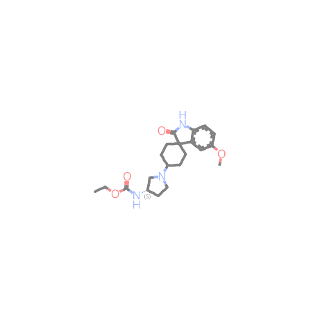 CCOC(=O)N[C@H]1CCN(C2CCC3(CC2)C(=O)Nc2ccc(OC)cc23)C1